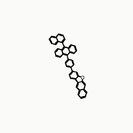 c1ccc2cc3c(cc2c1)oc1cc(-c2ccc(-c4c5ccccc5c(-c5cccc6ccccc56)c5ccccc45)cc2)ccc13